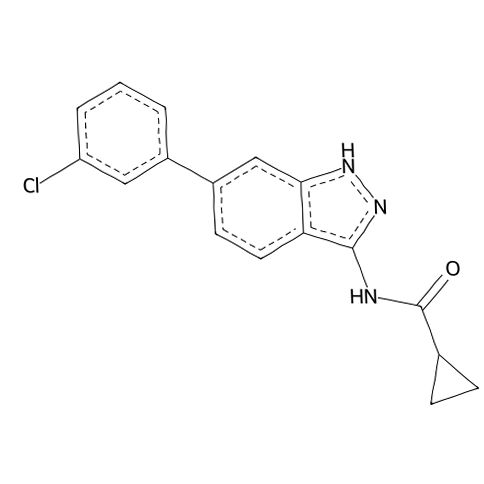 O=C(Nc1n[nH]c2cc(-c3cccc(Cl)c3)ccc12)C1CC1